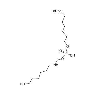 CCCCCCCCCCCCCCCCOP(=O)(O)OCNCCCCCCO